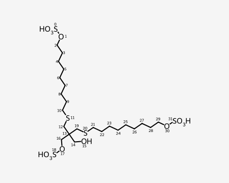 O=S(=O)(O)OCCCCCCCCCSCC(CO)(COS(=O)(=O)O)CSCCCCCCCCCOS(=O)(=O)O